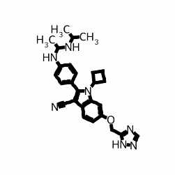 CC(C)NC(C)Nc1ccc(-c2c(C#N)c3ccc(OCc4ncn[nH]4)cc3n2C2CCC2)cc1